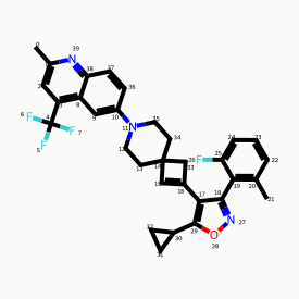 Cc1cc(C(F)(F)F)c2cc(N3CCC4(C=C(c5c(-c6c(C)cccc6F)noc5C5CC5)C4)CC3)ccc2n1